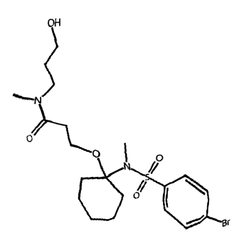 CN(CCCO)C(=O)CCOC1(N(C)S(=O)(=O)c2ccc(Br)cc2)CCCCC1